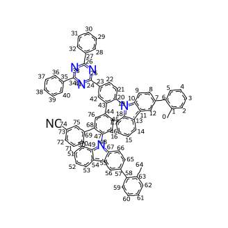 Cc1ccccc1-c1ccc2c(c1)c1ccccc1n2-c1ccc(-c2nc(-c3ccccc3)nc(-c3ccccc3)n2)cc1-c1ccc(-n2c3ccccc3c3cc(-c4ccccc4C)ccc32)c(-c2cccc(C#N)c2)c1